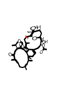 CC(=O)O[C@H]1CC2=CC[C@]3(C)C(C)/C=C(/C)CC/C=C(\C)C(=O)C[C@@H](C(C)C)C(=O)C[C@]3(COC=O)[C@H]2/C=C(\C)CC[C@@H]2O[C@H](CC[C@@]2(C)O)[C@@]1(C)O